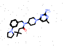 Cc1cc(N2CCC(N(Cc3cccc(N4CCCC4)c3)C(=O)CC(C)(C)C)CC2)nc(N)n1